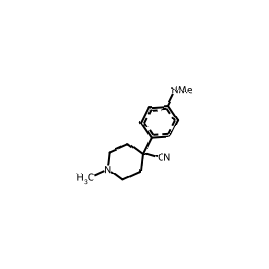 CNc1ccc(C2(C#N)CCN(C)CC2)cc1